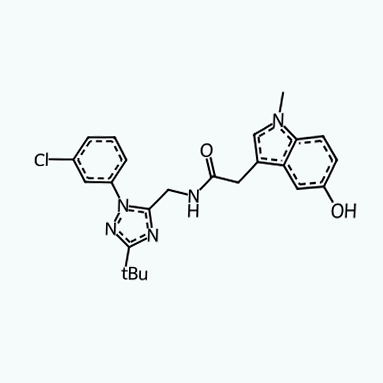 Cn1cc(CC(=O)NCc2nc(C(C)(C)C)nn2-c2cccc(Cl)c2)c2cc(O)ccc21